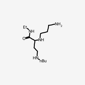 CCCCNCCC(NCCCN)C(=O)NCC